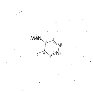 CNC1C=NN=CC1C